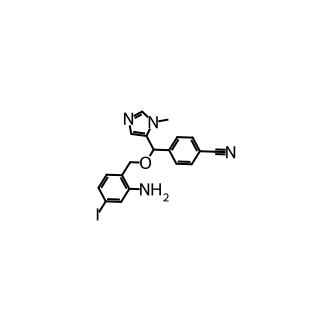 Cn1cncc1C(OCc1ccc(I)cc1N)c1ccc(C#N)cc1